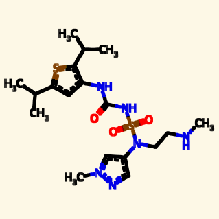 CNCCN(c1cnn(C)c1)S(=O)(=O)NC(=O)Nc1cc(C(C)C)sc1C(C)C